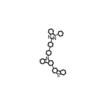 c1ccc(-c2nc(-c3ccc(-c4ccc(-n5c6ccccc6c6cc(-c7ccc8sc9ccccc9c8c7)ccc65)cc4)cc3)nc3ccccc23)cc1